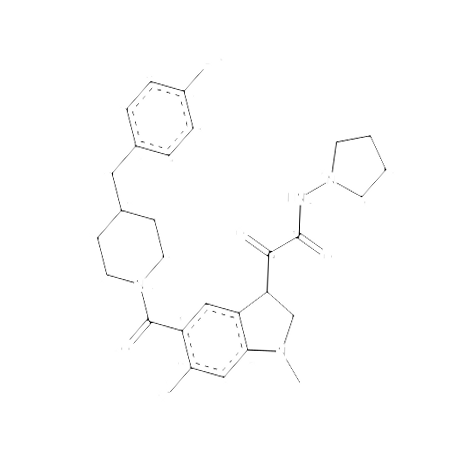 CN1CC(C(=O)C(=O)NN2CCCC2)c2cc(C(=O)N3CCC(Cc4ccc(F)cc4)CC3)c(Cl)cc21